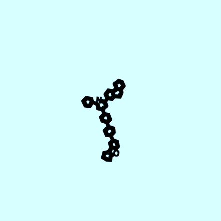 c1ccc(-c2cc(-c3ccc(-c4ccc(-c5ccc6oc7ccccc7c6c5)cc4)cc3)cc(-c3ccc4c(ccc5ccccc54)c3)n2)cc1